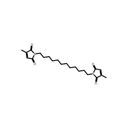 CC1=CC(=O)N(CCCCCCCCCCCCN2C(=O)C=C(C)C2=O)C1=O